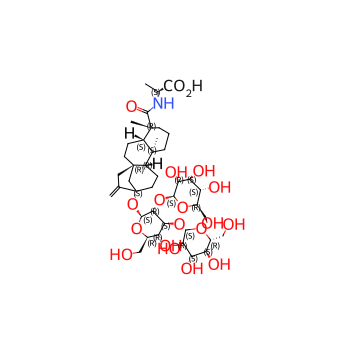 C=C1C[C@@]23CC[C@H]4[C@@](C)(CCC[C@@]4(C)C(=O)N[C@@H](C)C(=O)O)[C@@H]2CC[C@]1(O[C@@H]1O[C@H](CO)[C@@H](O)[C@H](O[C@@H]2O[C@H](CO)[C@@H](O)[C@H](O)[C@H]2O)[C@H]1O[C@@H]1O[C@H](CO)[C@@H](O)[C@H](O)[C@H]1O)C3